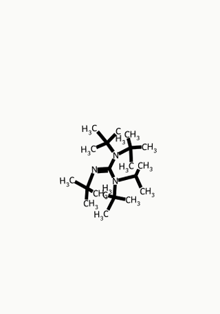 CC(C)N(C(=NC(C)(C)C)N(C(C)(C)C)C(C)(C)C)C(C)(C)C